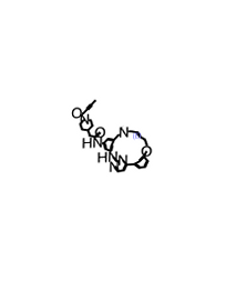 CC#CC(=O)N1CCC(CC(=O)Nc2cc3cc(c2)Nc2nccc(n2)-c2cccc(c2)OCC/C=C/CN(C)C3)CC1